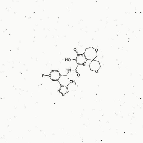 Cc1cnnn1-c1cc(F)ccc1CNC(=O)c1nc2n(c(=O)c1O)CCOCC21CCOCC1